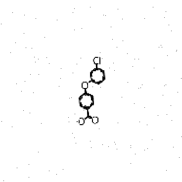 [O]C(=O)c1ccc(Oc2cccc(Cl)c2)cc1